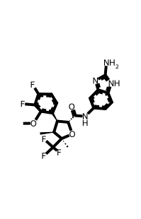 COc1c([C@H]2[C@H](C(=O)Nc3ccc4[nH]c(N)nc4c3)O[C@@](C)(C(F)(F)F)[C@H]2C)ccc(F)c1F